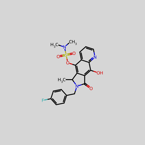 CC1c2c(c(O)c3ncccc3c2OS(=O)(=O)N(C)C)C(=O)N1Cc1ccc(F)cc1